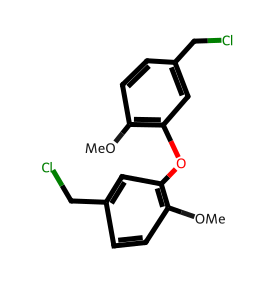 COc1ccc(CCl)cc1Oc1cc(CCl)ccc1OC